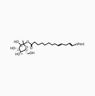 CCCCCC=CCC=CCCCCCCCC(=O)OC1(C)O[C@H](CO)[C@@H](O)[C@H](O)[C@H]1O